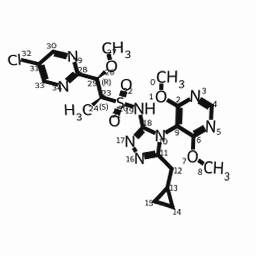 COc1ncnc(OC)c1-n1c(CC2CC2)nnc1NS(=O)(=O)[C@@H](C)[C@H](OC)c1ncc(Cl)cn1